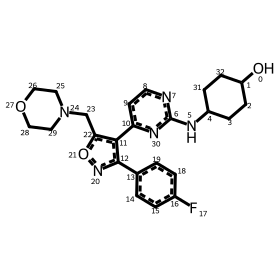 OC1CCC(Nc2nccc(-c3c(-c4ccc(F)cc4)noc3CN3CCOCC3)n2)CC1